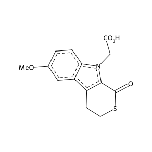 COc1ccc2c(c1)c1c(n2CC(=O)O)C(=O)SCC1